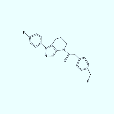 O=C(Cc1ccc(CF)cc1)N1CCCc2c1cnn2-c1ccc(F)cc1